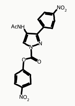 CC(=O)Nc1cn(C(=O)Oc2ccc([N+](=O)[O-])cc2)nc1-c1ccc([N+](=O)[O-])cc1